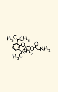 CC(C)c1cccc(C(C)C)c1OC(=O)COC(=O)CN